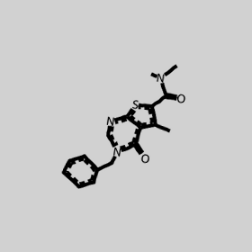 Cc1c(C(=O)N(C)C)sc2ncn(Cc3ccccc3)c(=O)c12